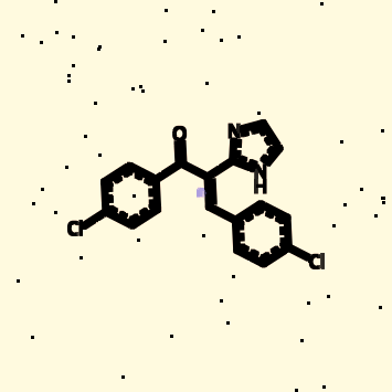 O=C(/C(=C/c1ccc(Cl)cc1)c1ncc[nH]1)c1ccc(Cl)cc1